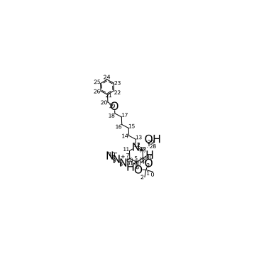 CC1(C)O[C@@H]2[C@H](O1)[C@@H](N=[N+]=[N-])CN(CCCCCCOCc1ccccc1)[C@@H]2CO